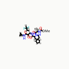 COC(=O)N[C@H](C(=O)N1CCC2(CCCC2)CC1C(=O)N[C@@H](CCC(C)(F)F)C(=O)C(=O)NC1CC1)C(C)(C)C